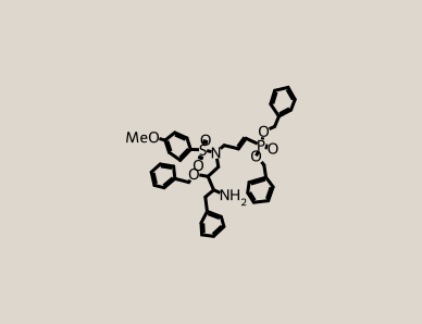 COc1ccc(S(=O)(=O)N(CC=CP(=O)(OCc2ccccc2)OCc2ccccc2)CC(OCc2ccccc2)C(N)Cc2ccccc2)cc1